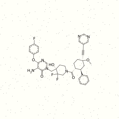 CO[C@]1(C#Cc2cncnc2)CC[C@@H](C(=O)N2CC[C@](O)(Cn3cnc(Oc4ccc(F)cc4)c(N)c3=O)C(F)(F)C2)[C@H](c2ccccc2)C1